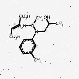 Cc1cccc(N(CC(C)O)N(C)N)c1.O=C(O)/C=C/C(=O)O